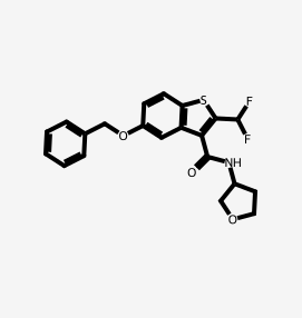 O=C(NC1CCOC1)c1c(C(F)F)sc2ccc(OCc3ccccc3)cc12